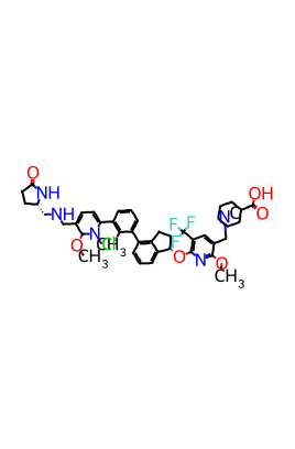 COc1nc(O[C@H]2CCc3c(-c4cccc(C5=CC=C(CNC[C@@H]6CCC(=O)N6)C(OC)N5C)c4Cl)cccc32)c(C(F)(F)F)cc1CN1CC2(C(=O)O)CCC1CC2